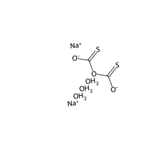 O.O.O.[Na+].[Na+].[O-]C(=S)OC([O-])=S